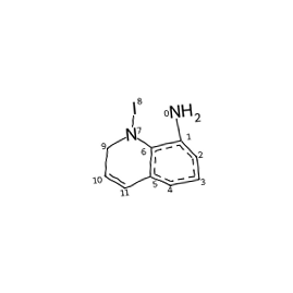 Nc1cccc2c1N(I)CC=C2